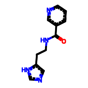 O=C(NCCc1cnc[nH]1)c1cccnc1